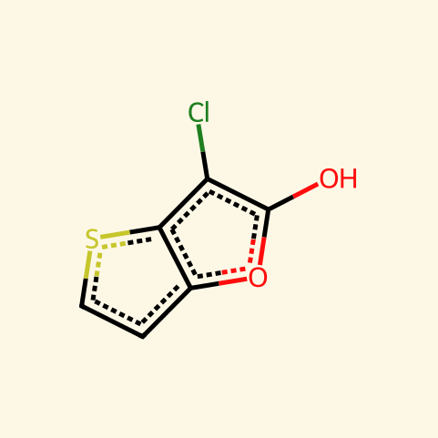 Oc1oc2ccsc2c1Cl